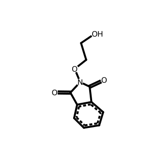 O=C1c2ccccc2C(=O)N1OCCO